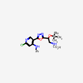 CC(C)Nc1cc(Cl)ncc1-c1nnc(C(CNC(=O)O)O[Si](C)(C)C(C)(C)C)o1